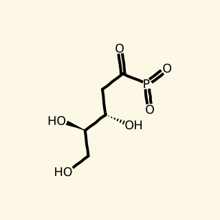 O=C(C[C@H](O)[C@H](O)CO)P(=O)=O